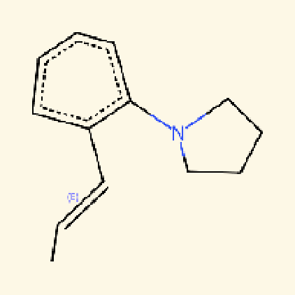 C/C=C/c1ccccc1N1CCCC1